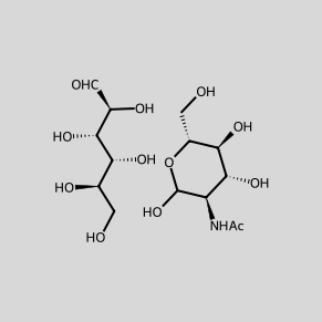 CC(=O)N[C@H]1C(O)O[C@H](CO)[C@@H](O)[C@@H]1O.O=C[C@@H](O)[C@@H](O)[C@H](O)[C@H](O)CO